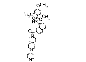 COc1cc(C)c(S(=O)(=O)N[C@@H]2CCCc3ccc(C(=O)N4CCC5(CC4)CCN(c4ccncc4)CC5)cc32)c(C)c1